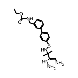 CCOC(=O)NCc1cccc(-c2ccc(SNC(C)(C)/C(=C/N)NN)cc2)c1